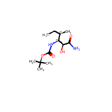 CC[C@@H](C)[C@H](NC(=O)OC(C)(C)C)C(O)C(N)=O